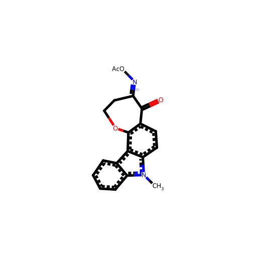 CC(=O)O/N=C1\CCOc2c(ccc3c2c2ccccc2n3C)C1=O